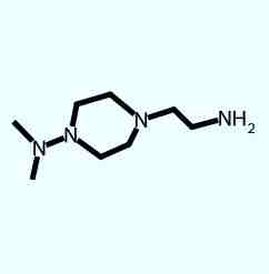 CN(C)N1CCN(CCN)CC1